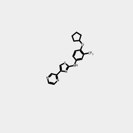 FC(F)(F)c1cc(Nc2nc(-c3cnccn3)cs2)ccc1OC1CCCC1